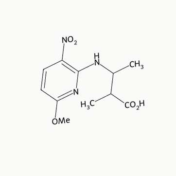 COc1ccc([N+](=O)[O-])c(NC(C)C(C)C(=O)O)n1